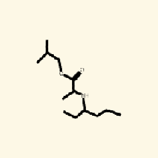 CCCC(CC)NC(C)C(=O)OCC(C)C